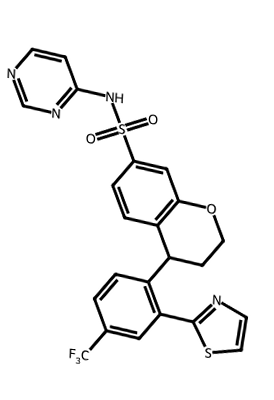 O=S(=O)(Nc1ccncn1)c1ccc2c(c1)OCCC2c1ccc(C(F)(F)F)cc1-c1nccs1